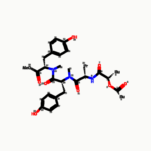 CC[C@@H](C)[C@@H](OC(=O)[C@@H](C)CC)C(=O)N[C@H](C(=O)N(C)[C@H](Cc1ccc(O)cc1)C(=O)N(C)[C@@H](Cc1ccc(O)cc1)C(=O)OC)C(C)C